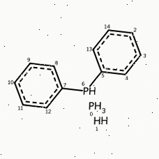 P.[HH].c1ccc(Pc2ccccc2)cc1